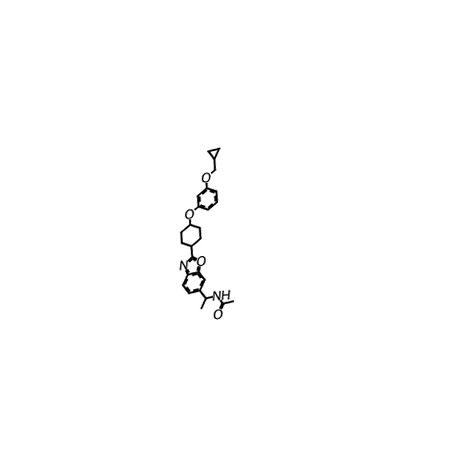 CC(=O)NC(C)c1ccc2nc(C3CCC(Oc4cccc(OCC5CC5)c4)CC3)oc2c1